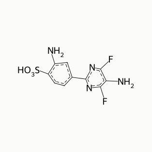 Nc1cc(-c2nc(F)c(N)c(F)n2)ccc1S(=O)(=O)O